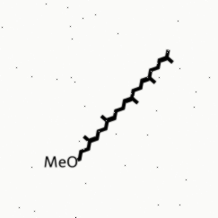 COCCC/C(C)=C/CC/C(C)=C/CC/C=C(\C)CC/C=C(\C)CCC=C(C)C